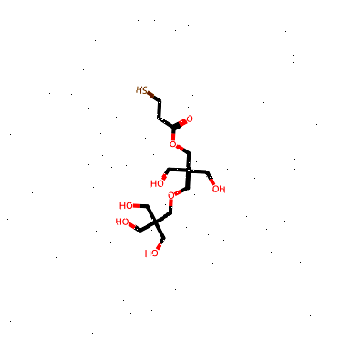 O=C(CCS)OCC(CO)(CO)COCC(CO)(CO)CO